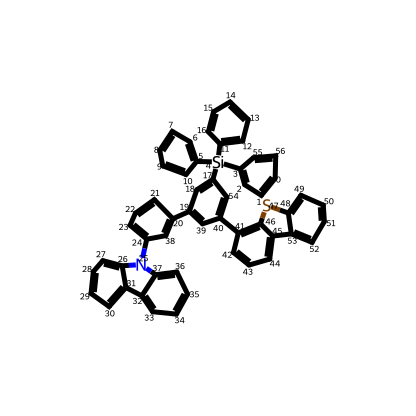 c1ccc([Si](c2ccccc2)(c2ccccc2)c2cc(-c3cccc(-n4c5ccccc5c5ccccc54)c3)cc(-c3cccc4c3sc3ccccc34)c2)cc1